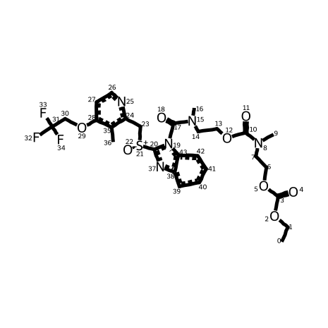 CCOC(=O)OCCN(C)C(=O)OCCN(C)C(=O)n1c([S@+]([O-])Cc2nccc(OCC(F)(F)F)c2C)nc2ccccc21